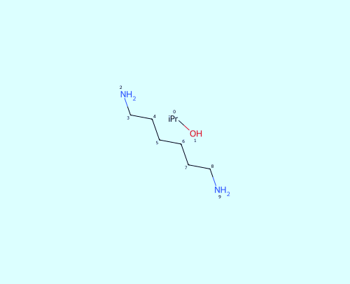 CC(C)O.NCCCCCCN